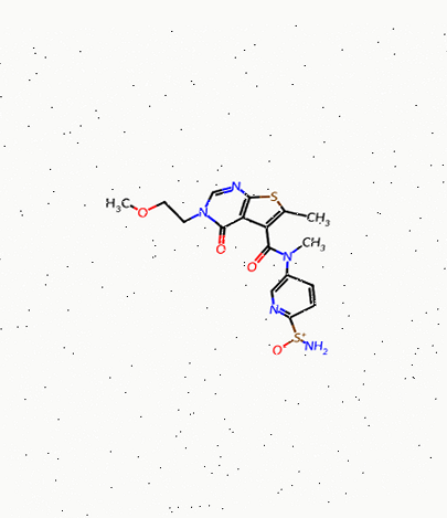 COCCn1cnc2sc(C)c(C(=O)N(C)c3ccc([S+](N)[O-])nc3)c2c1=O